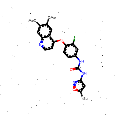 COc1cc2nccc(Oc3ccc(NC(=O)Nc4cc(C(C)(C)C)on4)cc3F)c2cc1OC